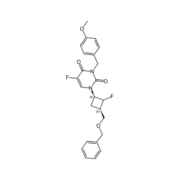 COc1ccc(Cn2c(=O)c(F)cn([C@@H]3C[C@H](COCc4ccccc4)C3F)c2=O)cc1